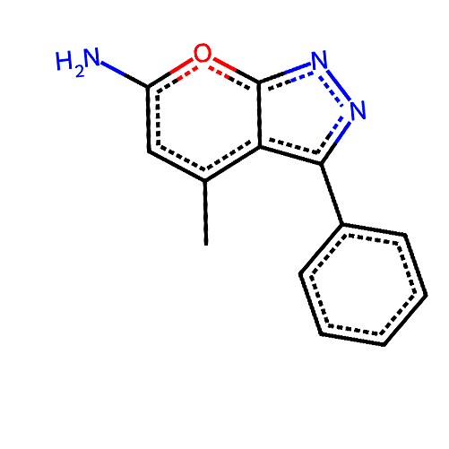 Cc1cc(N)oc2nnc(-c3ccccc3)c1-2